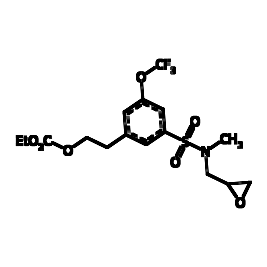 CCOC(=O)OCCc1cc(OC(F)(F)F)cc(S(=O)(=O)N(C)CC2CO2)c1